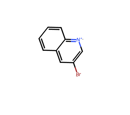 BrC1=C[N+]=c2ccccc2=C1